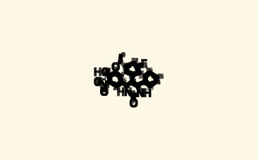 CCOc1cc(C2NC(=O)NC(c3ccccc3)=C2c2cccc(F)c2)cc([N+](=O)[O-])c1O